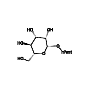 CCCCCO[C@@H]1O[C@H](CO)[C@@H](O)[C@H](O)[C@@H]1O